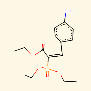 CCOC(=O)/C(=C\c1ccc(N)cc1)P(=O)(OCC)OCC